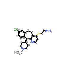 NCCSc1ccnc2c1CCc1cc(Cl)ccc1C2=C1CCN(C(=O)O)CC1